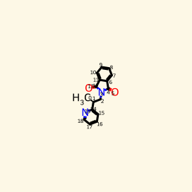 C[C@@H](CN1C(=O)c2ccccc2C1=O)c1ccccn1